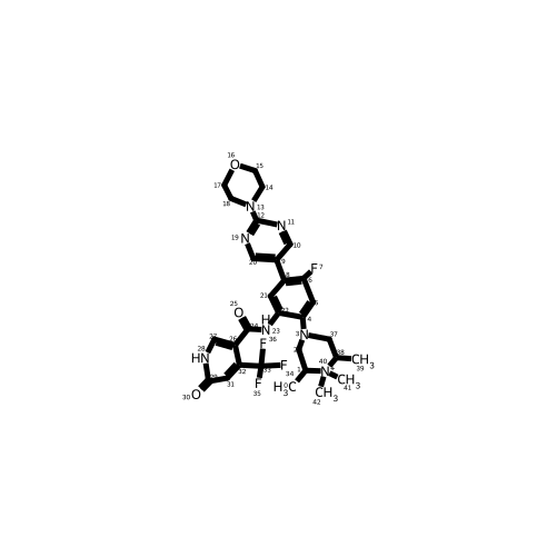 CC1CN(c2cc(F)c(-c3cnc(N4CCOCC4)nc3)cc2NC(=O)c2c[nH]c(=O)cc2C(F)(F)F)CC(C)[N+]1(C)C